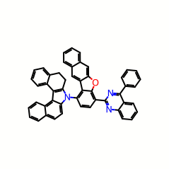 c1ccc(-c2nc(-c3ccc(-n4c5c(c6c7ccccc7ccc64)-c4ccccc4CC5)c4c3oc3cc5ccccc5cc34)nc3ccccc23)cc1